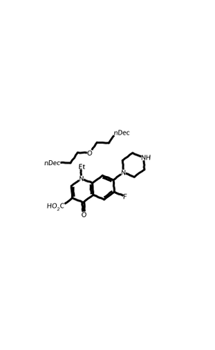 CCCCCCCCCCCCOCCCCCCCCCCCC.CCn1cc(C(=O)O)c(=O)c2cc(F)c(N3CCNCC3)cc21